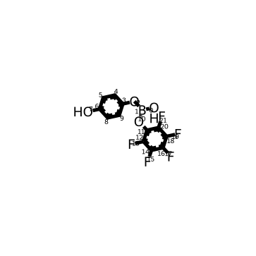 OB(Oc1ccc(O)cc1)Oc1c(F)c(F)c(F)c(F)c1F